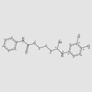 O=C(Nc1ccccc1)OCCSC(S)Nc1ccc(Cl)c(Cl)c1